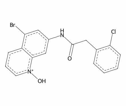 O=C(Cc1ccccc1Cl)Nc1cc(Br)c2ccc[n+](O)c2c1